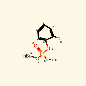 CCCCCCP(=O)(OCCCC)Oc1ccccc1Cl